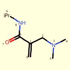 C=C(CN(C)C)C(=O)NC(C)C